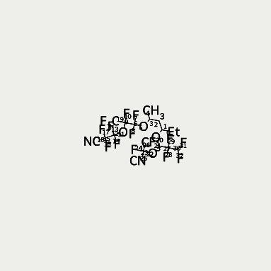 CCC(CC(C)OC(F)(F)C(F)(OC(F)(F)C(F)(F)C#N)C(F)(F)F)OC(OC(F)(C#N)C(F)(F)F)C(F)(F)C(F)F